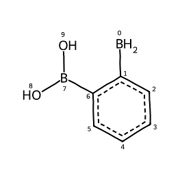 Bc1ccccc1B(O)O